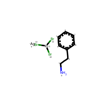 NCCc1ccccc1.[Ag].[Br][In]([Br])[Br]